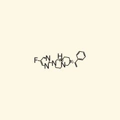 C=C(c1ccccc1)[C@H]1CC[C@H]2CN(c3ncc(F)cn3)CCN2C1